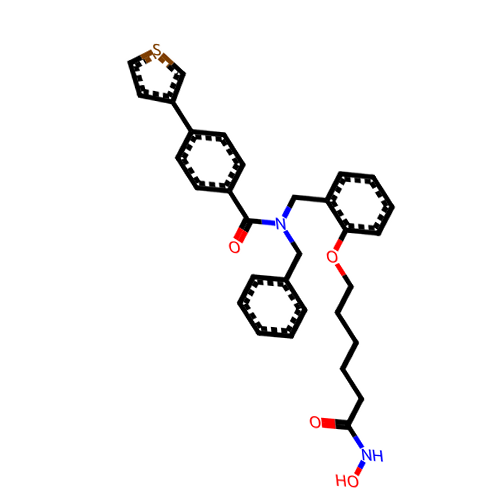 O=C(CCCCCOc1ccccc1CN(Cc1ccccc1)C(=O)c1ccc(-c2ccsc2)cc1)NO